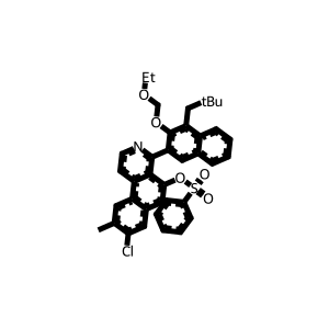 CCOCOc1c(-c2nccc3c2c(OS(=O)(=O)c2ccccc2)cc2cc(Cl)c(C)cc23)cc2ccccc2c1CC(C)(C)C